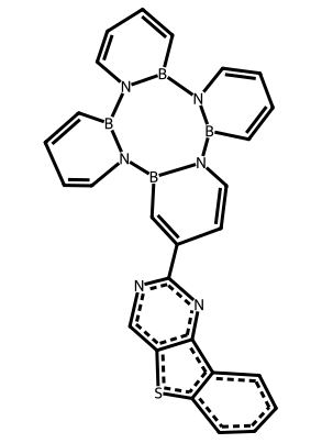 C1=CB2N(C=C1)B1C=CC=CN1B1C=C(c3ncc4sc5ccccc5c4n3)C=CN1B1C=CC=CN21